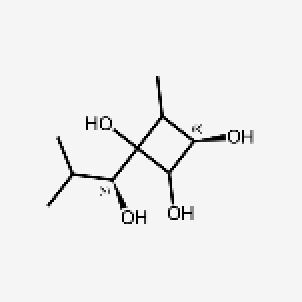 CC(C)[C@H](O)C1(O)C(C)[C@@H](O)C1O